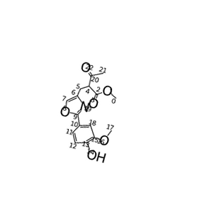 COC(=O)C(Cc1coc(-c2ccc(O)c(OC)c2)n1)C(C)=O